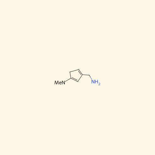 CNC1=CC(CN)=CC1